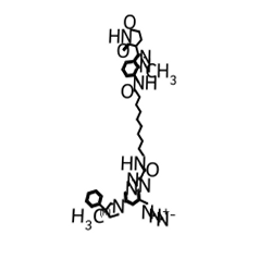 Cn1nc(C2CCC(=O)NC2=O)c2cccc(NC(=O)CCCCCCCCCNC(=O)c3nc4c(CN=[N+]=[N-])cc(N5CC[C@](C)(c6ccccc6)C5)cn4n3)c21